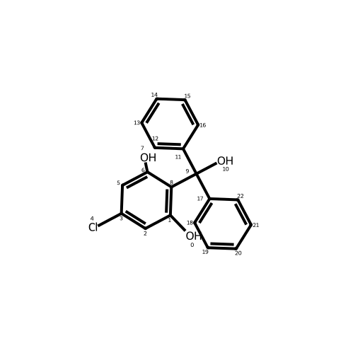 Oc1cc(Cl)cc(O)c1C(O)(c1ccccc1)c1ccccc1